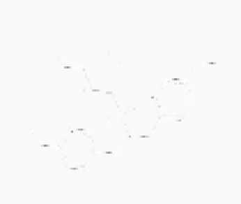 C=CC[C@@H](O)[C@H](CC)S(=O)(=O)N(Cc1ccc(OC)cc1)Cc1ccc(OC)cc1